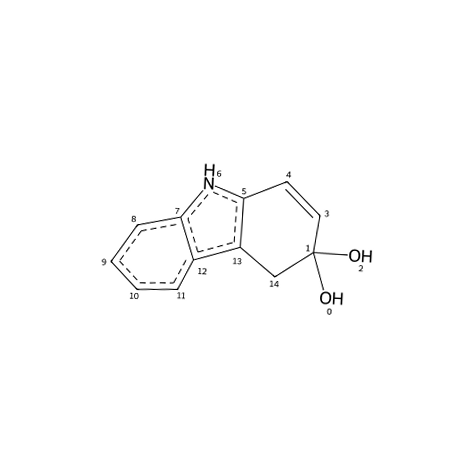 OC1(O)C=Cc2[nH]c3ccccc3c2C1